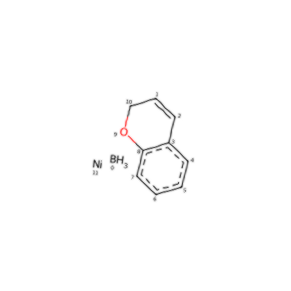 B.C1=Cc2ccccc2OC1.[Ni]